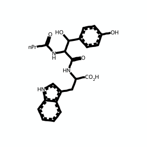 CCCC(=O)NC(C(=O)NC(Cc1c[nH]c2ccccc12)C(=O)O)C(O)c1ccc(O)cc1